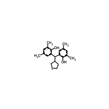 Cc1cc(C)c(O)c(C(c2cc(C)cc(C)c2O)C2CCSC2)c1